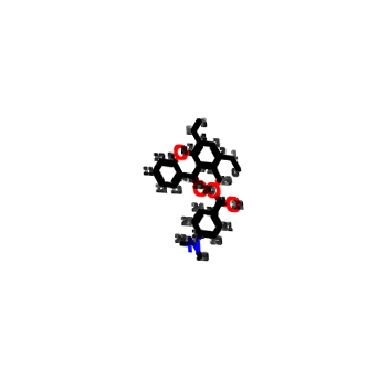 CCc1cc(CC)c2oc3ccccc3c(=O)c2c1COC(=O)c1ccc(N(C)C)cc1